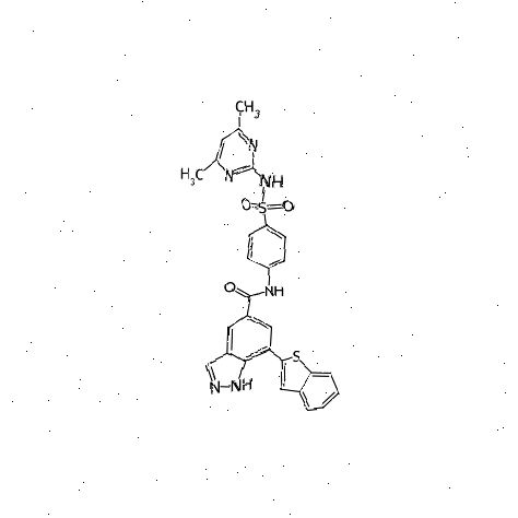 Cc1cc(C)nc(NS(=O)(=O)c2ccc(NC(=O)c3cc(-c4cc5ccccc5s4)c4[nH]ncc4c3)cc2)n1